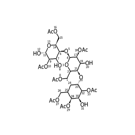 CC(=O)OCC1O[C@@H](O[C@H]2C(O)C(OC(C)=O)[C@H](O)O[C@H]2COC(C)=O)[C@@H](OC(C)=O)C(O)[C@H]1O[C@H]1CC(COC(C)=O)[C@H](OC(C)=O)[C@H](O)C1OC(C)=O